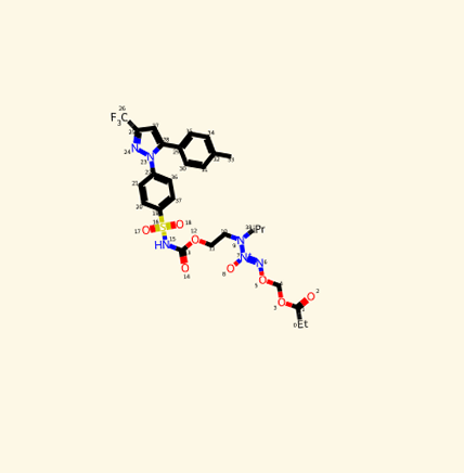 CCC(=O)OCON=[N+]([O-])N(CCOC(=O)NS(=O)(=O)c1ccc(-n2nc(C(F)(F)F)cc2-c2ccc(C)cc2)cc1)C(C)C